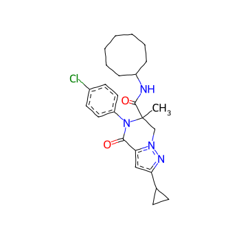 CC1(C(=O)NC2CCCCCCC2)Cn2nc(C3CC3)cc2C(=O)N1c1ccc(Cl)cc1